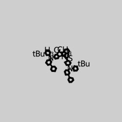 CC(C)(C)c1cccc(N(c2cccc(-c3ccccc3)c2)c2ccc3c(c2)C(C)(C)c2c-3n3c4c2cccc4c2sc4cc(N(c5cccc(-c6ccccc6)c5)c5cccc(C(C)(C)C)c5)ccc4c23)c1